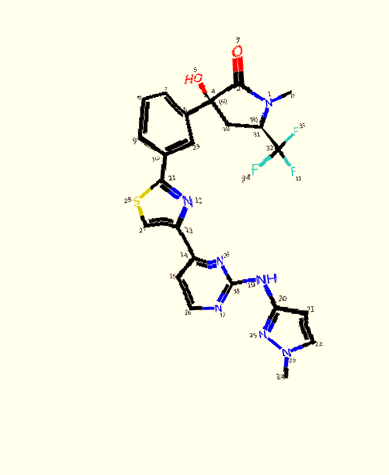 CN1C(=O)[C@@](O)(c2cccc(-c3nc(-c4ccnc(Nc5ccn(C)n5)n4)cs3)c2)C[C@@H]1C(F)(F)F